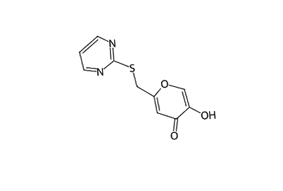 O=c1cc(CSc2ncccn2)occ1O